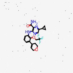 NC(=O)c1nc(C2CC2)cnc1Nc1cccc(C2=CCOCC2)c1OCC(F)(F)F